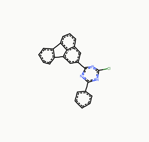 Clc1nc(-c2ccccc2)nc(-c2cc3c4c(cccc4c2)-c2ccccc2-3)n1